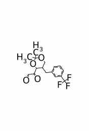 CC1(C)OCC(Cc2cccc(C(F)(F)F)c2)C(C(=O)C=O)O1